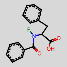 O=C(O)C(Cc1ccccc1)N(F)C(=O)c1ccccc1